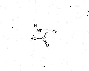 O=[N+]([O-])O.[Co].[Mn].[Ni]